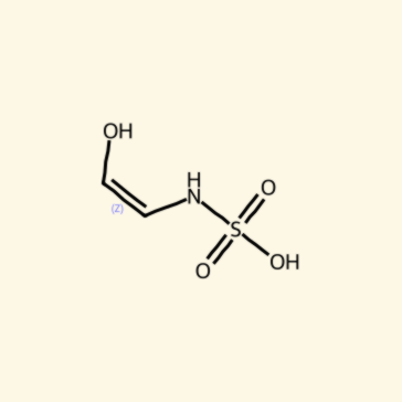 O=S(=O)(O)N/C=C\O